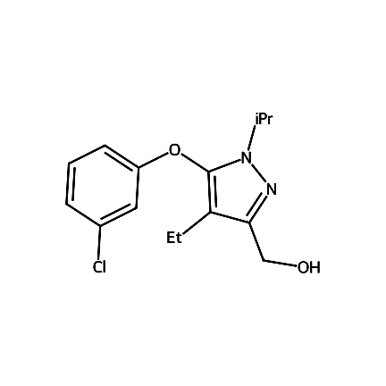 CCc1c(CO)nn(C(C)C)c1Oc1cccc(Cl)c1